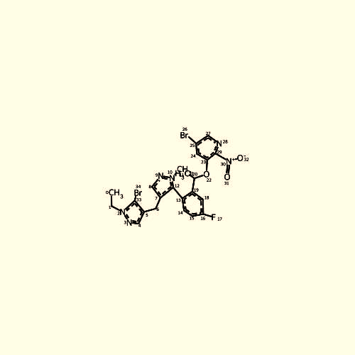 CCn1ncc(Cc2cnn(C)c2-c2ccc(F)cc2C(C)Oc2cc(Br)cnc2[N+](=O)[O-])c1Br